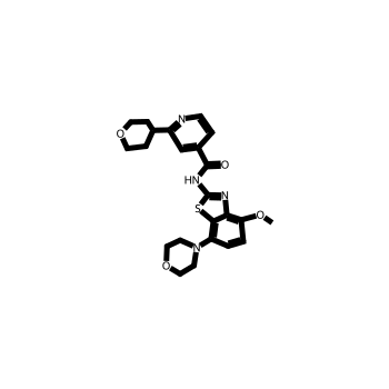 COc1ccc(N2CCOCC2)c2sc(NC(=O)c3ccnc(C4CCOCC4)c3)nc12